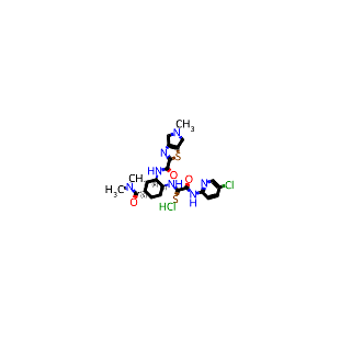 CN1Cc2nc(C(=O)N[C@@H]3C[C@@H](C(=O)N(C)C)CC[C@@H]3NC(=S)C(=O)Nc3ccc(Cl)cn3)sc2C1.Cl